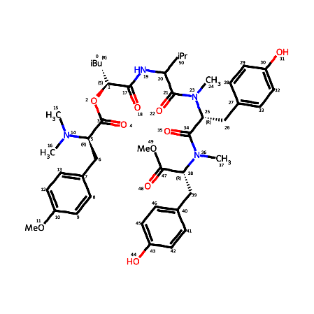 CC[C@@H](C)[C@H](OC(=O)[C@@H](Cc1ccc(OC)cc1)N(C)C)C(=O)NC(C(=O)N(C)[C@H](Cc1ccc(O)cc1)C(=O)N(C)[C@H](Cc1ccc(O)cc1)C(=O)OC)C(C)C